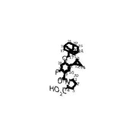 C[C@@H]1CC[C@@H](C(=O)O)N1C(=O)c1cc(C2CC2)c(OCC23CC4CC(CC(C4)C2)C3)cc1F